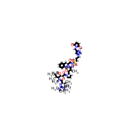 CC[C@H](C)[C@@H]([C@H](CC(=O)N1CCC[C@H]1[C@H](OC)[C@@H](C)C(=O)N[C@@H](Cc1ccccc1)C(=O)NS(=O)(=O)CCCn1cc(CN2C(=O)C=CC2=O)nn1)OC)N(C)C(=O)[C@@H](N=C(N(C)C)N(C)C)C(C)C